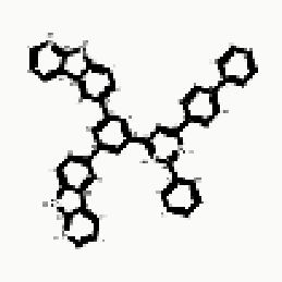 c1ccc(-c2ccc(-c3cc(-c4cc(-c5ccc6oc7ncccc7c6c5)cc(-c5ccc6oc7ncccc7c6c5)c4)nc(-c4ccccc4)n3)cc2)cc1